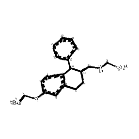 CC(C)(C)COc1ccc2c(c1)CCC(CNCC(=O)O)C2c1ccccc1